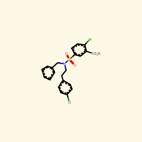 O=C(O)c1cc(S(=O)(=O)N(CCc2ccc(Cl)cc2)Cc2ccccc2)ccc1Br